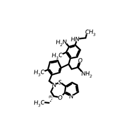 CCNc1ccc(C(CC(N)=O)c2ccc(C)c(CN3C[C@@H](CC)Oc4ncccc4S3)c2)c(C)c1N